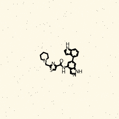 O=C(Nc1cc(-c2cccc3[nH]ccc23)cc2[nH]ncc12)c1csc(CN2CCCCC2)n1